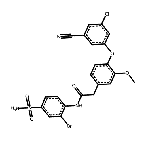 COc1cc(CC(=O)Nc2ccc(S(N)(=O)=O)cc2Br)ccc1Oc1cc(Cl)cc(C#N)c1